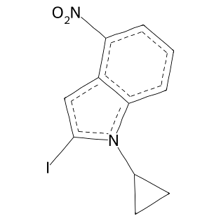 O=[N+]([O-])c1cccc2c1cc(I)n2C1CC1